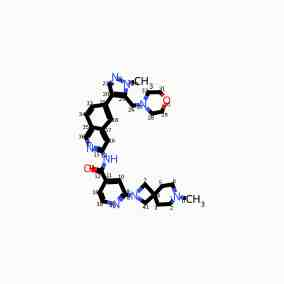 CN1CCC2(CC1)CN(c1cc(C(=O)Nc3cc4cc(-c5cnn(C)c5CN5CCOCC5)ccc4cn3)ccn1)C2